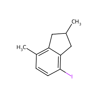 Cc1ccc(I)c2c1CC(C)C2